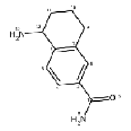 NC(=O)c1ccc2c(c1)CCCC2N